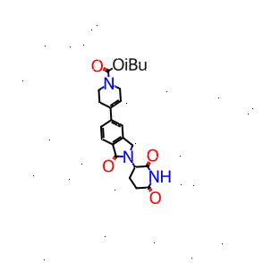 CC(C)COC(=O)N1CC=C(c2ccc3c(c2)CN(C2CCC(=O)NC2=O)C3=O)CC1